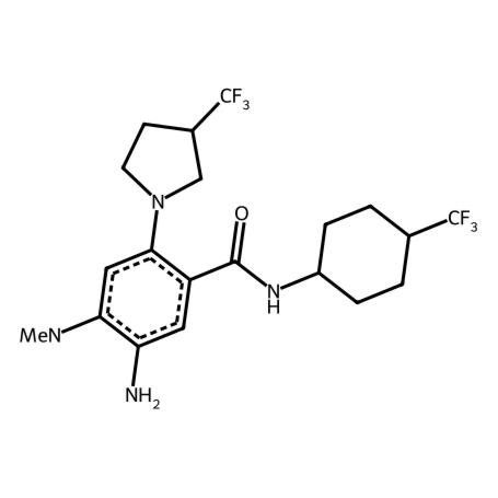 CNc1cc(N2CCC(C(F)(F)F)C2)c(C(=O)NC2CCC(C(F)(F)F)CC2)cc1N